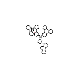 c1cc(-c2ccccc2-n2c3ccccc3c3ccccc32)cc(N(c2cccc(-c3cccc4c3oc3ccccc34)c2)c2ccc3c4ccccc4c4ccccc4c3c2)c1